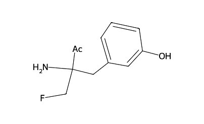 CC(=O)C(N)(CF)Cc1cccc(O)c1